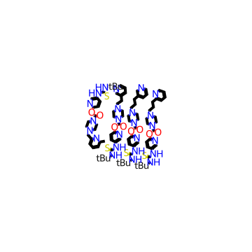 CC(C)(C)NC(=S)Nc1ccc(OC(=O)N2CCN(CCCc3ccccn3)CC2)nc1.CC(C)(C)NC(=S)Nc1ccc(OC(=O)N2CCN(CCCc3cccnc3)CC2)nc1.CC(C)(C)NC(=S)Nc1ccc(OC(=O)N2CCN(CCc3cccnc3)CC2)nc1.Cc1cccc(CN2CCN(C(=O)Oc3ccc(NC(=S)NC(C)(C)C)cn3)CC2)n1